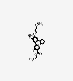 CCOC(=O)c1cn2c(cc1=O)-c1cc(OC)c(OCCCOC)cc1C1CCCC12